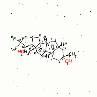 C[C@@]1(O)CC[C@H]2[C@H](CC[C@@H]3[C@@H]2CC[C@]2(C)[C@@H](C(O)C(F)(F)F)CC[C@@H]32)C1